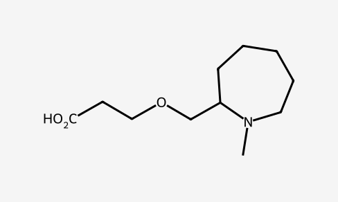 CN1CCCCCC1COCCC(=O)O